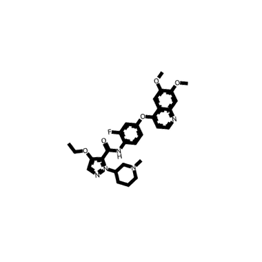 CCOc1cnn(C2CCCN(C)C2)c1C(=O)Nc1ccc(Oc2ccnc3cc(OC)c(OC)cc23)cc1F